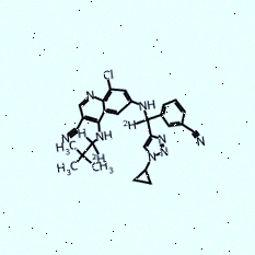 [2H]C(Nc1cc(Cl)c2ncc(C#N)c(NC([2H])([2H])C(C)(C)C)c2c1)(c1cccc(C#N)c1)c1cn(C2CC2)nn1